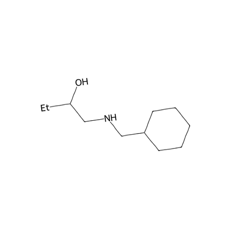 CCC(O)CNCC1CCCCC1